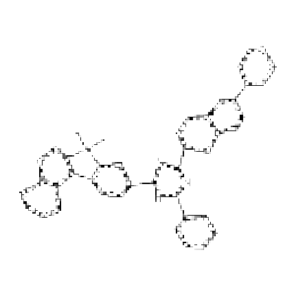 C[Si]1(C)c2cc(-c3nc(-c4ccccc4)nc(-c4ccc5cc(-c6ccccc6)ccc5c4)n3)ccc2-c2c1ccc1ccccc21